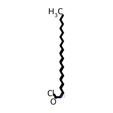 CCCCCCCCCC=CC=CC=CC=CC=C/C=C\C(=O)Cl